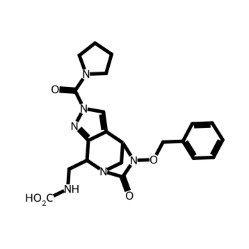 O=C(O)NCC1c2nn(C(=O)N3CCCC3)cc2C2CN1C(=O)N2OCc1ccccc1